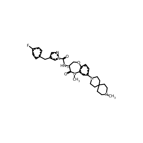 CN1CCC2(CC1)CCN(c1ccc3c(c1)N(C)C(=O)[C@@H](NC(=O)n1cc(Cc4ccc(F)cc4)cn1)CO3)CC2